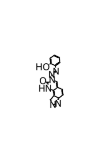 O=c1[nH]c2c(ccc3nncc32)cn1N=Nc1ccccc1O